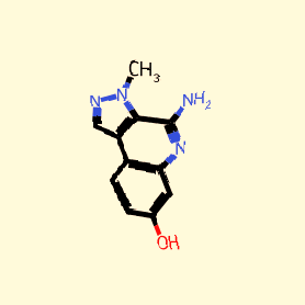 Cn1ncc2c3ccc(O)cc3nc(N)c21